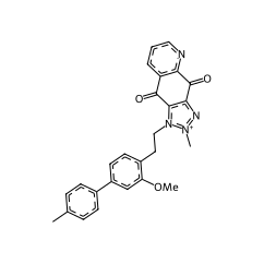 COc1cc(-c2ccc(C)cc2)ccc1CCn1c2c(n[n+]1C)C(=O)c1ncccc1C2=O